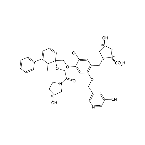 CC1C(c2ccccc2)=CC=CC1(COc1cc(OCc2cncc(C#N)c2)c(CN2C[C@@H](O)C[C@H]2C(=O)O)cc1Cl)OCC(=O)N1CC[C@@H](O)C1